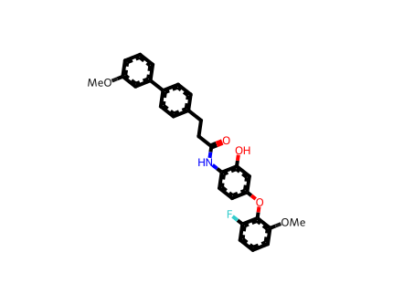 COc1cccc(-c2ccc(CCC(=O)Nc3ccc(Oc4c(F)cccc4OC)cc3O)cc2)c1